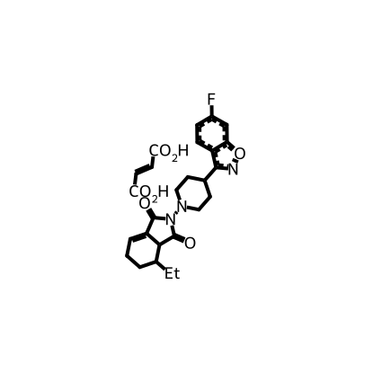 CCC1CCC=C2C(=O)N(N3CCC(c4noc5cc(F)ccc45)CC3)C(=O)C21.O=C(O)C=CC(=O)O